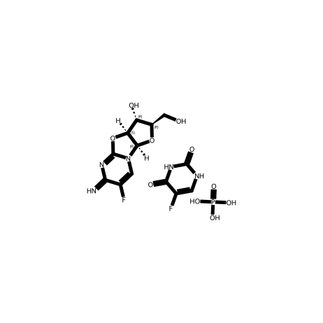 N=c1nc2n(cc1F)[C@@H]1O[C@H](CO)[C@@H](O)[C@@H]1O2.O=P(O)(O)O.O=c1[nH]cc(F)c(=O)[nH]1